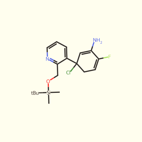 CC(C)(C)[Si](C)(C)OCc1ncccc1C1(Cl)C=C(N)C(F)=CC1